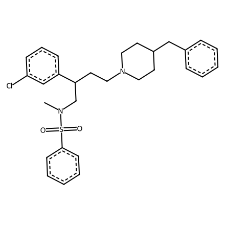 CN(CC(CCN1CCC(Cc2ccccc2)CC1)c1cccc(Cl)c1)S(=O)(=O)c1ccccc1